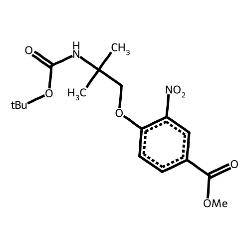 COC(=O)c1ccc(OCC(C)(C)NC(=O)OC(C)(C)C)c([N+](=O)[O-])c1